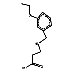 CCOc1cccc(CNCCC(=O)O)c1